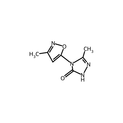 Cc1cc(-n2c(C)n[nH]c2=O)on1